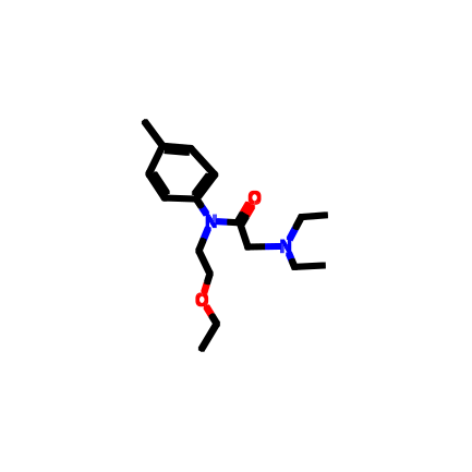 CCOCCN(C(=O)CN(CC)CC)c1ccc(C)cc1